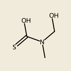 CN(CO)C(O)=S